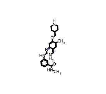 CNC(=O)c1cccc(NC/N=C2/C=C(OCC3CCNCC3)C(C)=C/C2=C/N)c1